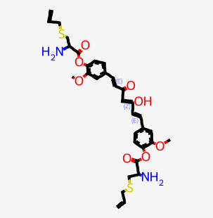 C=CCSCC(N)C(=O)Oc1ccc(/C=C/C(=O)/C=C(O)/C=C/c2ccc(OC(=O)C(N)CSCC=C)c(OC)c2)cc1OC